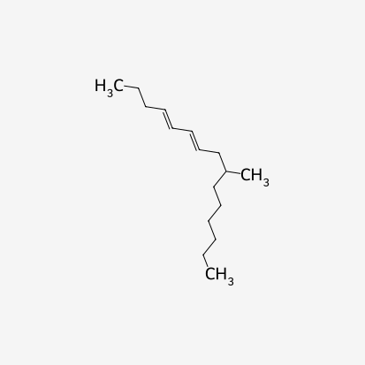 CCCC=CC=CCC(C)CCCCCC